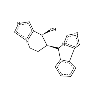 O[C@@H]1c2cncn2CC[C@@H]1C1c2ccccc2-c2cncn21